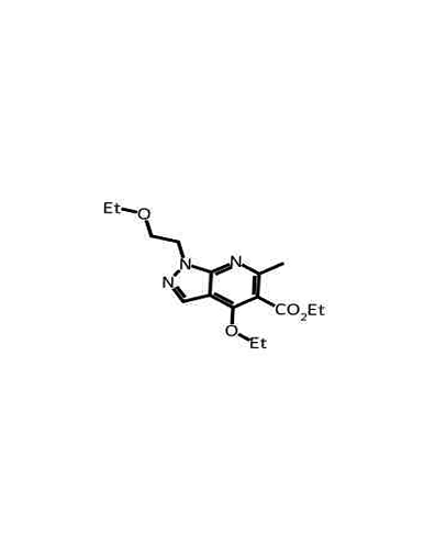 CCOCCn1ncc2c(OCC)c(C(=O)OCC)c(C)nc21